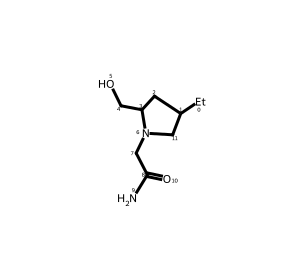 CCC1CC(CO)N(CC(N)=O)C1